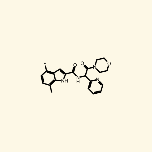 Cc1ccc(F)c2cc(C(=O)NC(C(=O)N3CCOCC3)c3ccccn3)[nH]c12